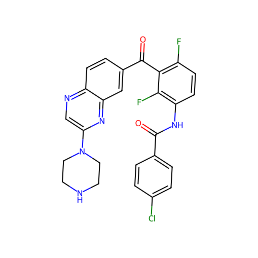 O=C(Nc1ccc(F)c(C(=O)c2ccc3ncc(N4CCNCC4)nc3c2)c1F)c1ccc(Cl)cc1